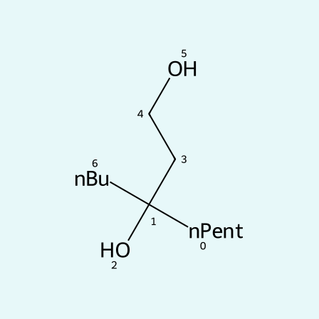 CCCCCC(O)(CCO)CCCC